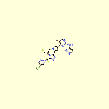 Cc1cnc(Nc2ccnn2C)nc1-c1cc2n(c1)C[C@H](CF)n1c-2nnc1C(F)(F)n1cc(Cl)cn1